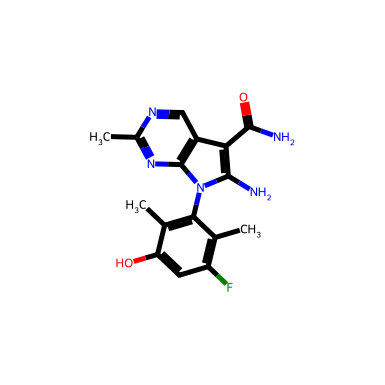 Cc1ncc2c(C(N)=O)c(N)n(-c3c(C)c(O)cc(F)c3C)c2n1